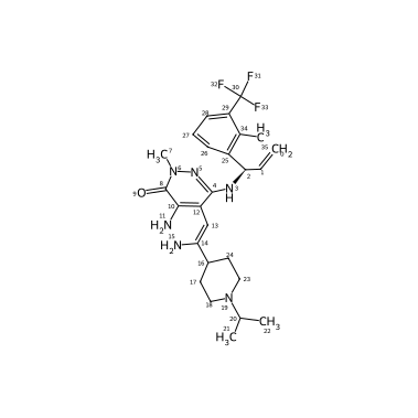 C=C[C@@H](Nc1nn(C)c(=O)c(N)c1/C=C(\N)C1CCN(C(C)C)CC1)c1cccc(C(F)(F)F)c1C